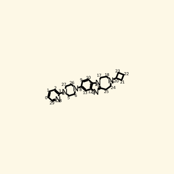 c1ccc(N2CCN(c3ccc4c(c3)nc3n4CCN(C4CCC4)CC3)CC2)nc1